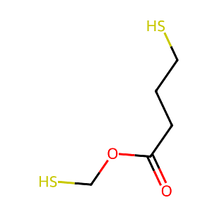 O=C(CCCS)OCS